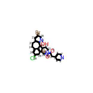 O=C(Cc1ccncc1)[N+]1([O-])CCC(C2(O)c3ncc(Br)cc3CCc3cc(Cl)cc(Br)c32)CC1